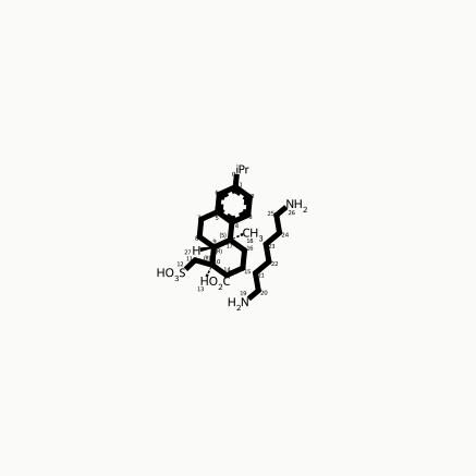 CC(C)c1ccc2c(c1)CC[C@H]1[C@@](CS(=O)(=O)O)(C(=O)O)CCC[C@]21C.NCCCCCCN